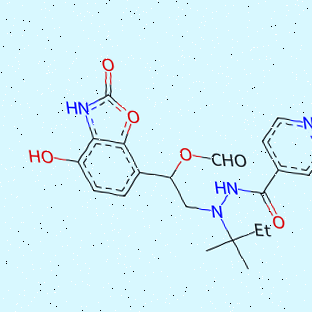 CCC(C)(C)N(CC(OC=O)c1ccc(O)c2[nH]c(=O)oc12)NC(=O)c1ccncc1